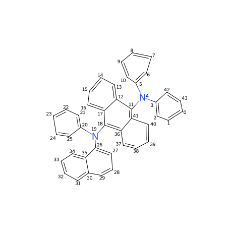 c1ccc(N(c2ccccc2)c2c3ccccc3c(N(c3ccccc3)c3cccc4ccccc34)c3ccccc23)cc1